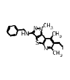 Cc1nc2sc3c(NCc4ccccc4)nn(C)c3c2c(C)c1CI